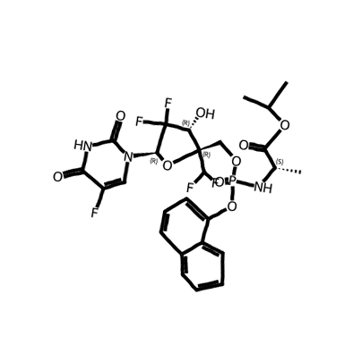 CC(C)OC(=O)[C@H](C)NP(=O)(OC[C@@]1(C(F)F)O[C@@H](n2cc(F)c(=O)[nH]c2=O)C(F)(F)[C@@H]1O)Oc1cccc2ccccc12